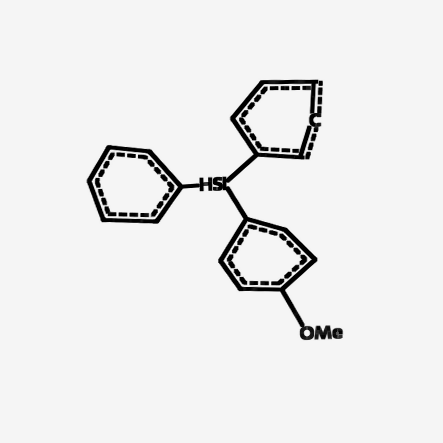 COc1ccc([SiH](c2ccccc2)c2ccccc2)cc1